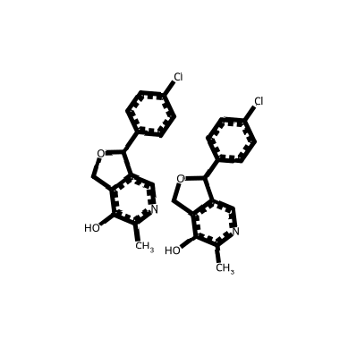 Cc1ncc2c(c1O)COC2c1ccc(Cl)cc1.Cc1ncc2c(c1O)COC2c1ccc(Cl)cc1